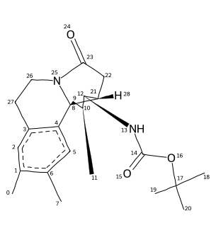 Cc1cc2c(cc1C)[C@@]13C[C@H](C)[C@@H](NC(=O)OC(C)(C)C)[C@@H]1CC(=O)N3CC2